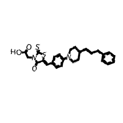 O=C(O)CN1C(=O)C(=Cc2ccc(N3CCC(CCCc4ccccc4)CC3)cc2)SC1=S